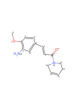 COc1ccc(C=CC(=O)N2CC=CCC2)cc1N